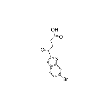 O=C(O)CCC(=O)c1cc2ccc(Br)cc2s1